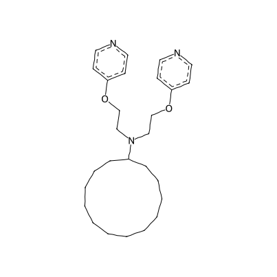 c1cc(OCCN(CCOc2ccncc2)C2CCCCCCCCCCCC2)ccn1